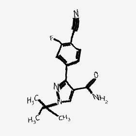 CC(C)(C)n1cc(C(N)=O)c(-c2ccc(C#N)c(F)c2)n1